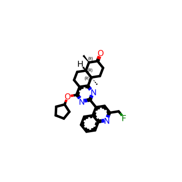 C[C@H]1C(=O)CC[C@@]2(C)c3nc(-c4cc(CF)nc5ccccc45)nc(OC4CCCC4)c3CC[C@H]12